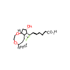 CCCCCC1CC[C@]2([C](F)F)[C@H](CC=CCCCC(=O)O)[C@@H](O)C[C@H]2OCCO1